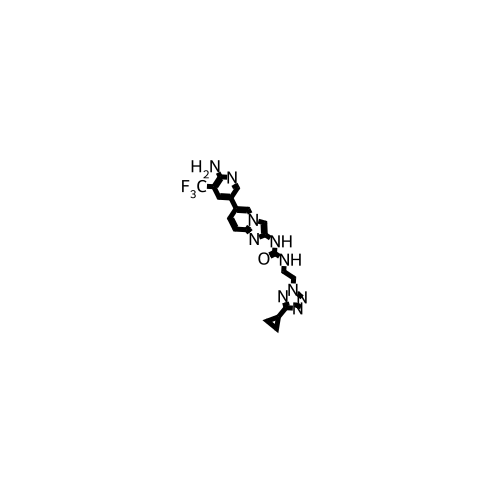 Nc1ncc(-c2ccc3nc(NC(=O)NCCn4nnc(C5CC5)n4)cn3c2)cc1C(F)(F)F